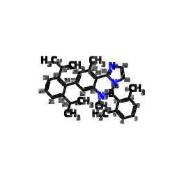 Cc1cccc(C)c1B1N(C)c2cc(-c3c(C(C)C)cccc3C(C)C)cc(C)c2-c2nccn21